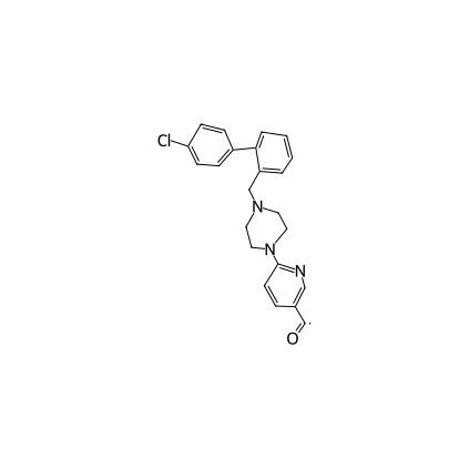 O=[C]c1ccc(N2CCN(Cc3ccccc3-c3ccc(Cl)cc3)CC2)nc1